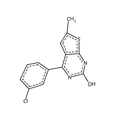 Cc1cc2c(-c3cccc(Cl)c3)nc(O)nc2s1